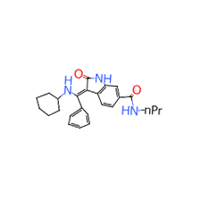 CCCNC(=O)c1ccc2c(c1)NC(=O)/C2=C(\NC1CCCCC1)c1ccccc1